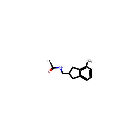 CCC(=O)NCC1Cc2cccc([N+](=O)[O-])c2C1